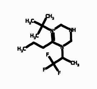 CCCC1=[N+](C(C)(C)C)CNCN1C(C)C(F)(F)F